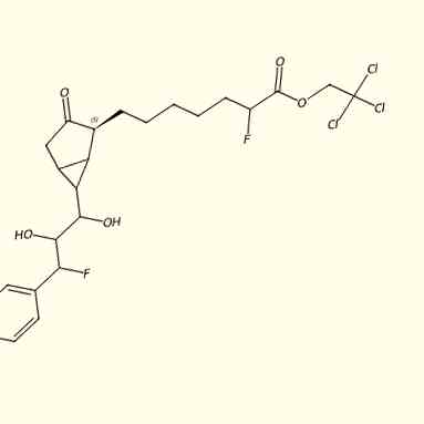 O=C(OCC(Cl)(Cl)Cl)C(F)CCCCC[C@@H]1C(=O)CC2C(C(O)C(O)C(F)c3ccccc3)C21